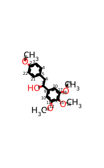 COc1ccc(CC(O)c2cc(OC)c(OC)c(OC)c2)cc1